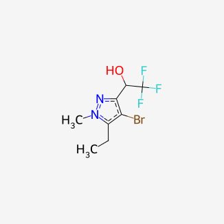 CCc1c(Br)c(C(O)C(F)(F)F)nn1C